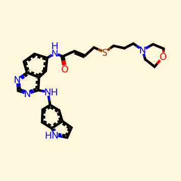 O=C(C=CCSCCCN1CCOCC1)Nc1ccc2ncnc(Nc3ccc4[nH]ccc4c3)c2c1